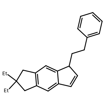 CCC1(CC)Cc2cc3c(cc2C1)[C](CCc1ccccc1)C=C3